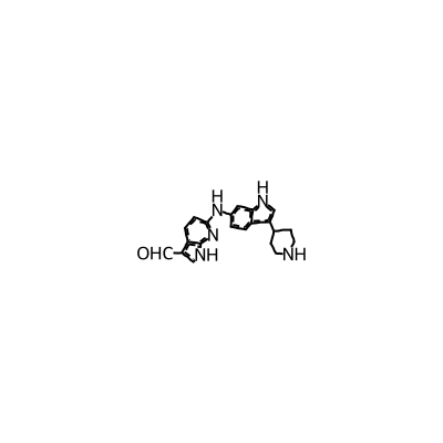 O=Cc1c[nH]c2nc(Nc3ccc4c(C5CCNCC5)c[nH]c4c3)ccc12